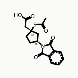 CC(=O)S[C@@]1(CC(=O)O)CC[C@H](N2C(=O)c3ccccc3C2=O)C1